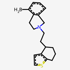 Bc1cccc2c1CCN(CCC1CCCc3sccc31)C2